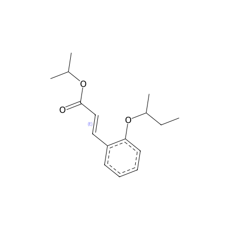 CCC(C)Oc1ccccc1/C=C/C(=O)OC(C)C